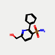 NS(=O)(=O)c1ccc(CO)nc1-c1ccccc1